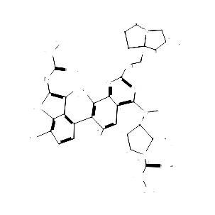 C[C@H]1[C@H](N(C)c2nc(OC[C@@]34CCCN3C[C@H](F)C4)nc3c(F)c(-c4ccc(F)c5sc(NC(=O)OC(C)(C)C)c(C#N)c45)c(C(F)(F)F)cc23)CCN1C(=O)OC(C)(C)C